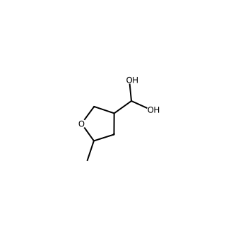 CC1CC(C(O)O)CO1